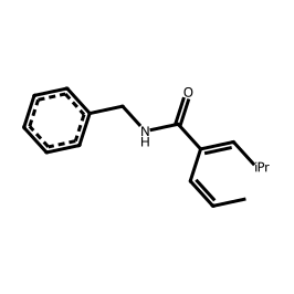 C/C=C\C(=C/C(C)C)C(=O)NCc1ccccc1